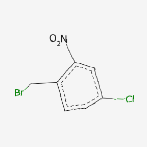 O=[N+]([O-])c1cc(Cl)ccc1CBr